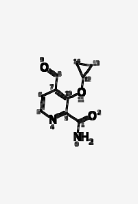 NC(=O)c1nccc(C=O)c1OC1CC1